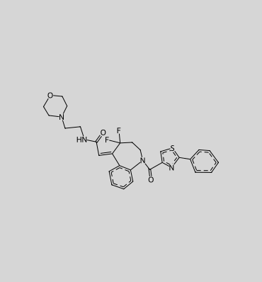 O=C(C=C1c2ccccc2N(C(=O)c2csc(-c3ccccc3)n2)CCC1(F)F)NCCN1CCOCC1